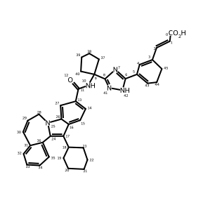 O=C(O)/C=C/C1=CC(c2nc(C3(NC(=O)c4ccc5c(C6CCCCC6)c6n(c5c4)CC=Cc4ccccc4-6)CCCC3)n[nH]2)=CCC1